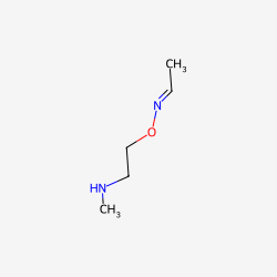 C/C=N/OCCNC